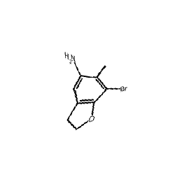 Cc1c(N)cc2c(c1Br)OCC2